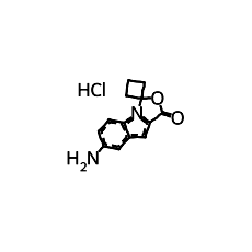 Cl.Nc1ccc2c(c1)cc1n2C2(CCC2)OC1=O